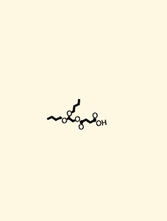 CCCCOC(COC(=O)CCC(=O)O)OCCCC